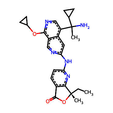 CC[C@]1(C)OC(=O)c2ccc(Nc3cc4c(C(C)(N)C5CC5)cnc(OC5CC5)c4cn3)nc21